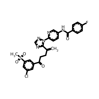 C=C(CCC(=O)c1cc(Cl)cc(S(C)(=O)=O)c1)c1ncnn1-c1ccc(NC(=O)c2ccc(F)cc2)cn1